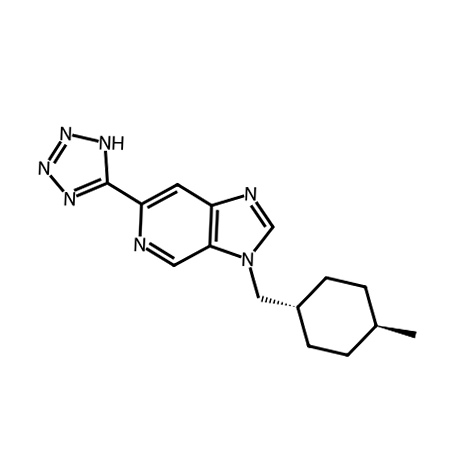 C[C@H]1CC[C@H](Cn2cnc3cc(-c4nnn[nH]4)ncc32)CC1